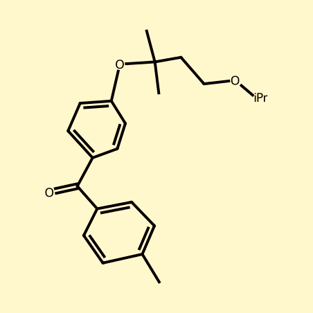 Cc1ccc(C(=O)c2ccc(OC(C)(C)CCOC(C)C)cc2)cc1